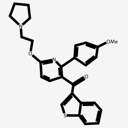 COc1ccc(-c2nc(OCCN3CCCC3)ccc2C(=O)c2csc3ccccc23)cc1